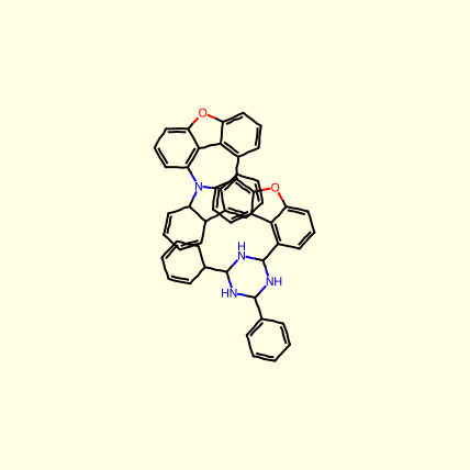 C1=CCC(C2NC(c3ccccc3)NC(c3cccc4oc5c(-c6cccc7oc8cccc(N9c%10ccccc%10C%10C=CC=CC%109)c8c67)cccc5c34)N2)C=C1